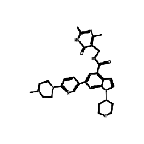 Cc1nc(C)c(CNC(=O)c2cc(-c3ccc(N4CCN(C)CC4)nc3)cc3c2ccn3C2CCOCC2)c(=O)[nH]1